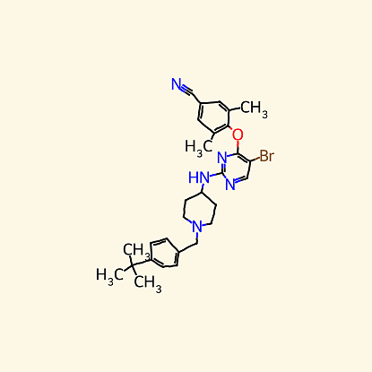 Cc1cc(C#N)cc(C)c1Oc1nc(NC2CCN(Cc3ccc(C(C)(C)C)cc3)CC2)ncc1Br